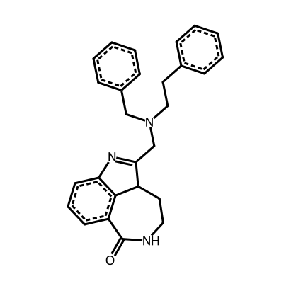 O=C1NCCC2C(CN(CCc3ccccc3)Cc3ccccc3)=Nc3cccc1c32